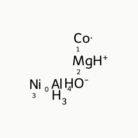 [AlH3].[Co].[MgH+].[Ni].[OH-]